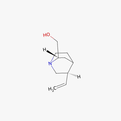 C=C[C@H]1CN2CCC1C[C@H]2CO